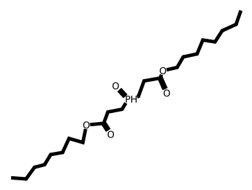 CCCCCCCCOC(=O)CC[PH](=O)CCC(=O)OCCCCCCCC